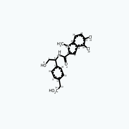 Cn1c(C(=O)NC(CO)c2ccc(CC(=O)O)cc2)cc2c(Cl)c(Cl)ccc21